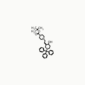 CC(C)(C)OC(=O)N1CCN(CC=C2CN(C(c3ccccc3)(c3ccccc3)c3ccccc3)CCC2O)CC1